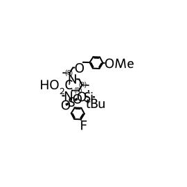 COc1ccc(COC[C@H](C)N(C[C@@H](C)[C@H](CN(C)S(=O)(=O)c2ccc(F)cc2)O[Si](C)(C)C(C)(C)C)C(=O)O)cc1